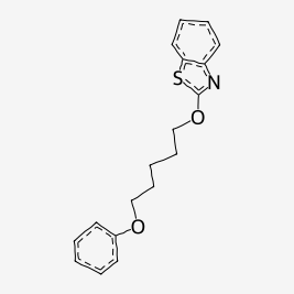 c1ccc(OCCCCCOc2nc3ccccc3s2)cc1